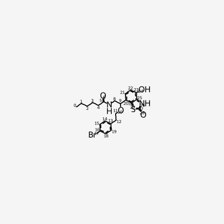 CCCCCC(=O)NCC(OCCc1ccc(Br)cc1)c1ccc(O)c2[nH]c(=O)sc12